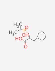 CC(C)P(=O)(O)CC(CC1CCCCC1)C(=O)O